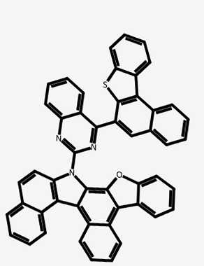 c1ccc2c(c1)cc(-c1nc(-n3c4ccc5ccccc5c4c4c5ccccc5c5c6ccccc6oc5c43)nc3ccccc13)c1sc3ccccc3c12